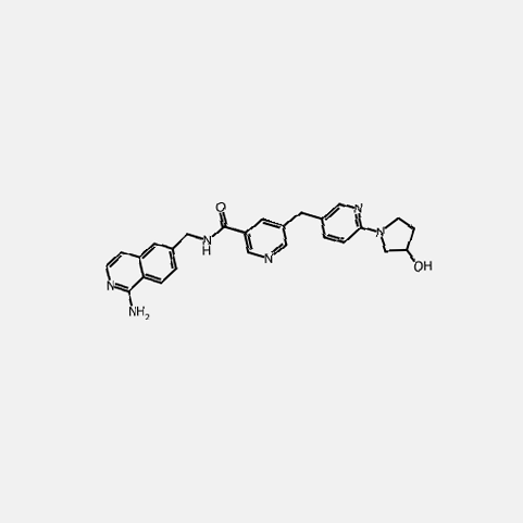 Nc1nccc2cc(CNC(=O)c3cncc(Cc4ccc(N5CCC(O)C5)nc4)c3)ccc12